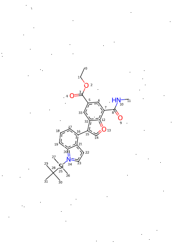 CCOC(=O)c1cc(C(=O)NC)c2occ(-c3cccc4c3ccn4[Si](C)(C)C(C)(C)C)c2c1